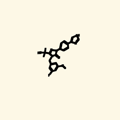 COc1cc(F)cc(Cn2c(C(C)(C)O)nn(-c3ccc(-c4c[nH]cn4)cc3)c2=O)c1